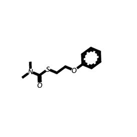 CN(C)C(=O)SCCOc1ccccc1